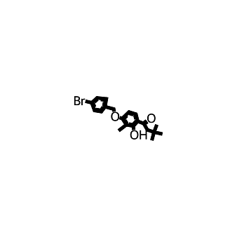 Cc1c(OCc2ccc(Br)cc2)ccc(C(=O)CC(C)(C)C)c1O